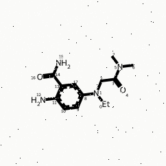 CCN(CC(=O)N(C)C)c1ccc(N)c(C(N)=O)c1